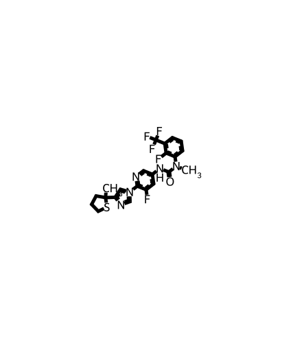 CN(C(=O)Nc1cnc(-n2cnc(C3(C)CCCS3)c2)c(F)c1)c1cccc(C(F)(F)F)c1F